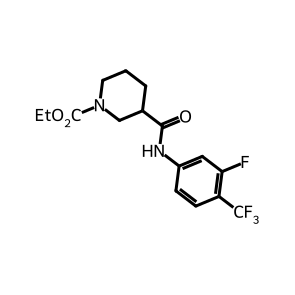 CCOC(=O)N1CCCC(C(=O)Nc2ccc(C(F)(F)F)c(F)c2)C1